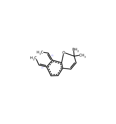 BC1(C)C=Cc2ccc(=C/C)/c(=C\C)c2O1